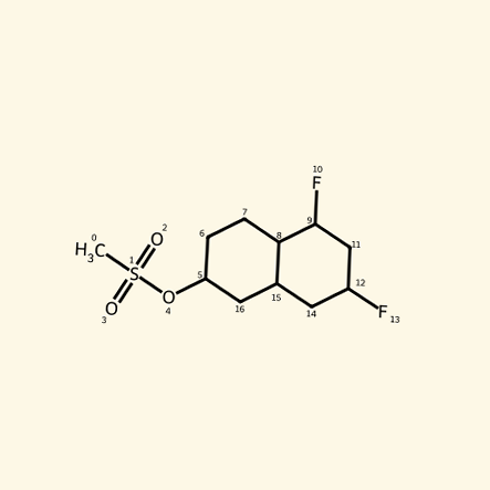 CS(=O)(=O)OC1CCC2C(F)CC(F)CC2C1